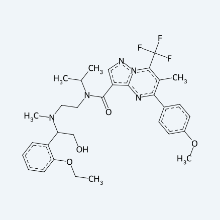 CCOc1ccccc1C(CO)N(C)CCN(C(=O)c1cnn2c(C(F)(F)F)c(C)c(-c3ccc(OC)cc3)nc12)C(C)C